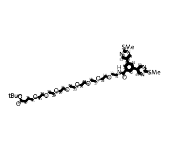 CSc1ncc(-c2cc(C(=O)NCCOCCOCCOCCOCCOCCOCCOCCOCCCC(=O)OC(C)(C)C)cc(-c3cnc(SC)nc3)c2)cn1